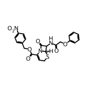 O=C(COc1ccccc1)NC1C(=O)N2C(C(=O)OCc3ccc([N+](=O)[O-])cc3)=CCS[C@@H]12